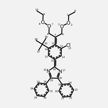 CCOOCC(COOCC)=c1c(Cl)cc(=C2N=C(c3ccccc3)C(c3ccccc3)=N2)cc1C(C)(C)C